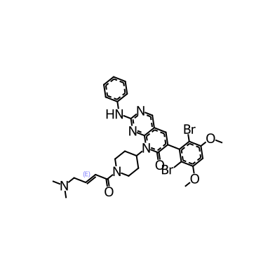 COc1cc(OC)c(Br)c(-c2cc3cnc(Nc4ccccc4)nc3n(C3CCN(C(=O)/C=C/CN(C)C)CC3)c2=O)c1Br